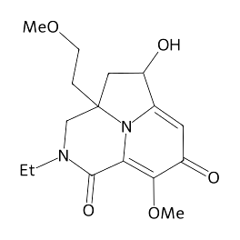 CCN1CC2(CCOC)CC(O)c3cc(=O)c(OC)c(n32)C1=O